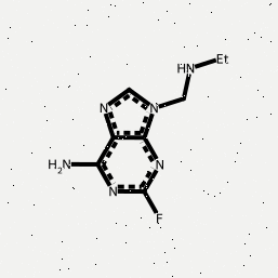 CCNCn1cnc2c(N)nc(F)nc21